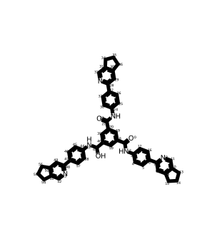 O=C(Nc1ccc(-c2cc3c(cn2)CCC3)cc1)c1cc(C(=O)Nc2ccc(-c3cc4c(cn3)CCC4)cc2)cc(C(O)Nc2ccc(-c3cc4c(cn3)CCC4)cc2)c1